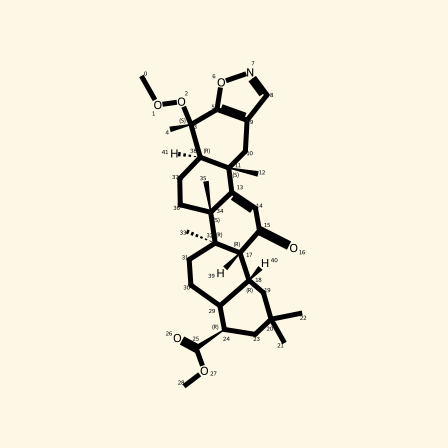 COO[C@]1(C)c2oncc2C[C@]2(C)C3=CC(=O)[C@@H]4[C@@H]5CC(C)(C)C[C@@H](C(=O)OC)C5CC[C@@]4(C)[C@]3(C)CC[C@H]21